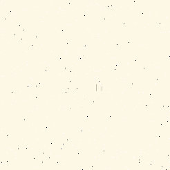 [Co].[Co].[Li+].[Li+].[O-2]